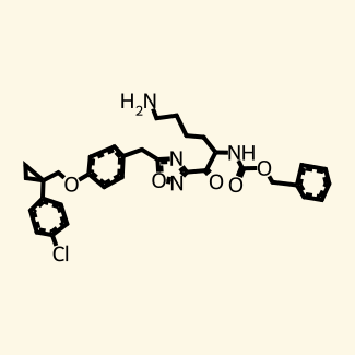 NCCCCC(NC(=O)OCc1ccccc1)C(=O)c1noc(Cc2ccc(OCC3(c4ccc(Cl)cc4)CC3)cc2)n1